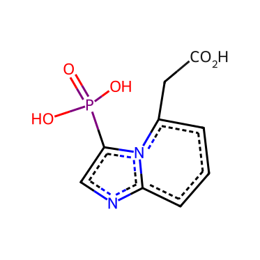 O=C(O)Cc1cccc2ncc(P(=O)(O)O)n12